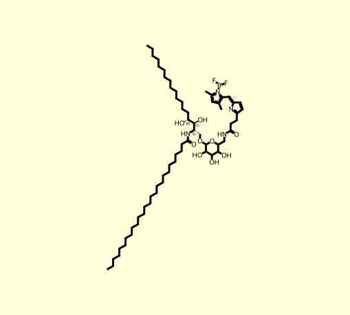 CCCCCCCCCCCCCCCCCCCCCCCCCC(=O)N[C@@H](COC1OC(CNC(=O)CCC2=N/C(=C\c3c(C)cc(C)n3B(F)F)C=C2)C(O)C(O)C1O)[C@H](O)[C@H](O)CCCCCCCCCCCCCC